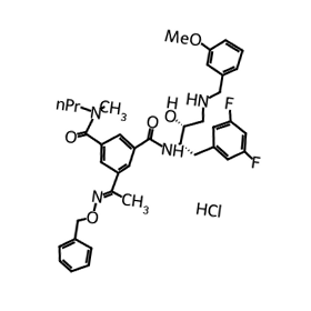 CCCN(C)C(=O)c1cc(C(=O)N[C@@H](Cc2cc(F)cc(F)c2)[C@H](O)CNCc2cccc(OC)c2)cc(/C(C)=N/OCc2ccccc2)c1.Cl